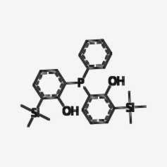 C[Si](C)(C)c1cccc(P(c2ccccc2)c2cccc([Si](C)(C)C)c2O)c1O